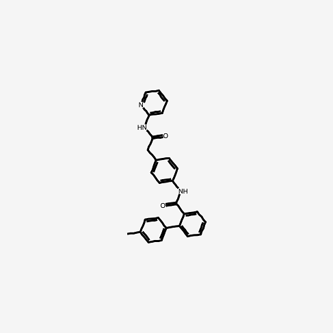 Cc1ccc(-c2ccccc2C(=O)Nc2ccc(CC(=O)Nc3ccccn3)cc2)cc1